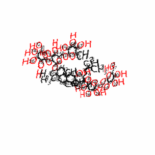 CC(C)=CCCC(C)(O[C@@H]1O[C@H](CO[C@@H]2O[C@H](CO)[C@@H](O)[C@H](O)[C@H]2O)[C@@H](O)[C@H](O)[C@H]1O)C1CCC2(C)C1C(O)CC1C3(C)CCC(O[C@@H]4O[C@H](CO[C@@H]5O[C@@H](C)[C@H](O)[C@@H](O)[C@H]5O)[C@@H](O)[C@H](O)[C@H]4O[C@@H]4O[C@H](CO)[C@@H](O)[C@H](O)[C@H]4O)C(C)(C)C3CCC12C